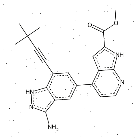 COC(=O)c1cc2c(-c3cc(C#CC(C)(C)C)c4[nH]nc(N)c4c3)ccnc2[nH]1